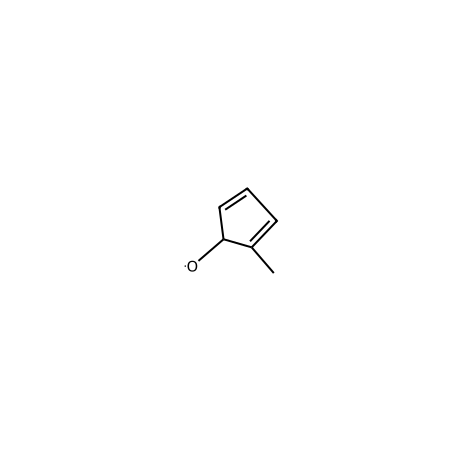 CC1=CC=CC1[O]